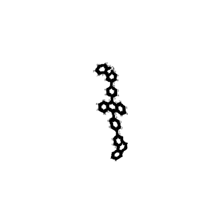 c1ccc2c(c1)ccc1cc(-c3ccc(-c4c5ccccc5c(-c5ccc(-c6ccc7oc8ccccc8c7c6)cc5)c5ccccc45)cc3)ccc12